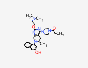 C=CC(=O)N1CCN(c2nc(OCCN(C)C)nc3c2CC(C)N(c2cc(O)cc4ccccc24)C3)CC1